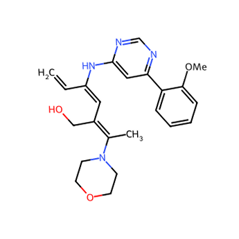 C=C/C(=C\C(CO)=C(/C)N1CCOCC1)Nc1cc(-c2ccccc2OC)ncn1